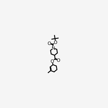 CC1=CC(OC(=O)C2CCN(C(=O)OC(C)(C)C)CC2)CCC1